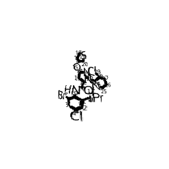 CC(C)c1cc(Cl)cc(Br)c1NC(=O)c1cc(Oc2ccsc2)nn1-c1ncccc1Cl